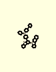 c1ccc(-c2ccc(N(c3ccccc3)c3ccc(-c4cc(-n5c6ccccc6c6cc7ccccc7cc65)cc5c4sc4ccccc45)cc3)cc2)cc1